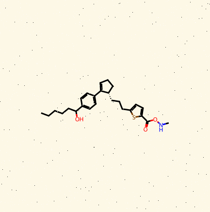 CCCCCC(O)c1ccc(C2=CCC[C@@H]2CCCc2ccc(C(=O)ONC)s2)cc1